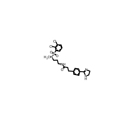 CN(CCCNC(=O)CCc1ccc(C2=NCCN2)cc1)S(=O)(=O)c1cccc(Cl)c1Cl